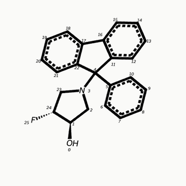 O[C@@H]1CN(C2(c3ccccc3)c3ccccc3-c3ccccc32)C[C@H]1F